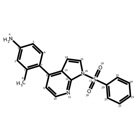 Cc1cc(N)ccc1-c1ccnc2c1ccn2S(=O)(=O)c1ccccc1